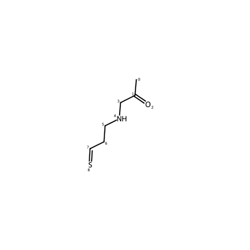 CC(=O)CNCCC=S